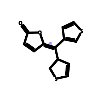 O=C1C=C/C(=C(/c2ccsc2)C2C=CSC2)O1